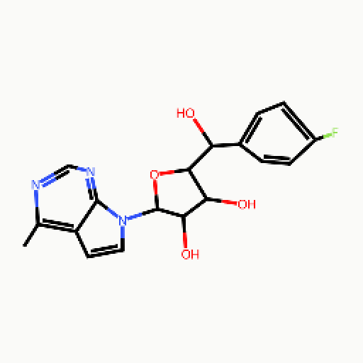 Cc1ncnc2c1ccn2C1OC(C(O)c2ccc(F)cc2)C(O)C1O